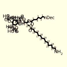 CCCCCCCCCCCCCCCC(=O)O[C@H](COC(=O)CCCCCCCCCCCCCN)COP(=O)(O)OC1C(O)[C@H](OP(=O)(O)O)C(O)[C@H](OP(=O)(O)O)[C@@H]1O